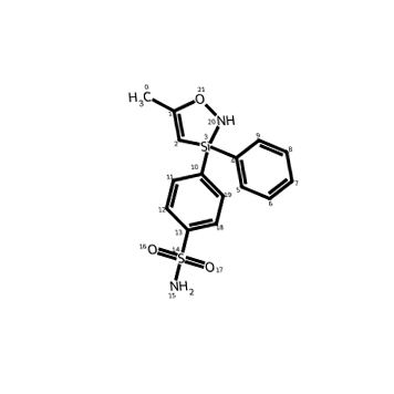 CC1=C[Si](c2ccccc2)(c2ccc(S(N)(=O)=O)cc2)NO1